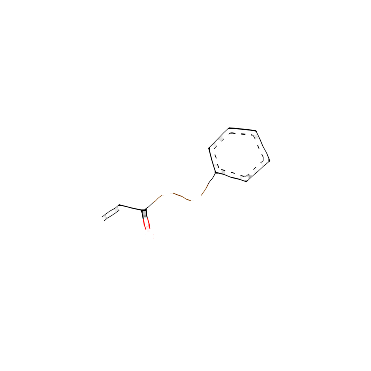 C=CC(=O)SSc1ccccc1